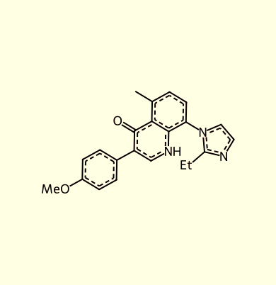 CCc1nccn1-c1ccc(C)c2c(=O)c(-c3ccc(OC)cc3)c[nH]c12